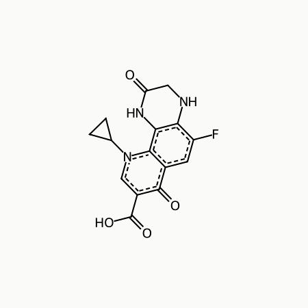 O=C1CNc2c(F)cc3c(=O)c(C(=O)O)cn(C4CC4)c3c2N1